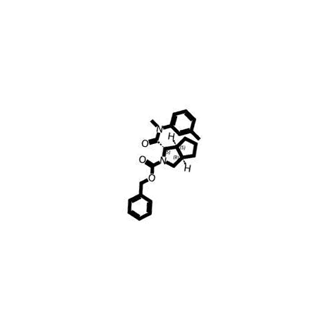 Cc1cccc(N(C)C(=O)[C@@H]2[C@H]3CCC[C@H]3CN2C(=O)OCc2ccccc2)c1